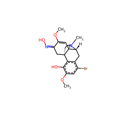 COC1=C[C@H]2[C@H]3Cc4c(Br)cc(OC)c(O)c4[C@@]2(CCN3C)C/C1=N/O